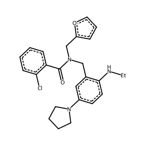 CCNc1ccc(N2CCCC2)cc1CN(Cc1ccco1)C(=O)c1ccccc1Cl